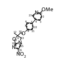 COc1ccc(-c2ccc(OCC3(C)Cn4cc([N+](=O)[O-])nc4O3)cc2)cn1